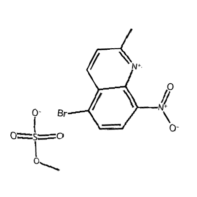 CC1=[N+]c2c([N+](=O)[O-])ccc(Br)c2C=C1.COS(=O)(=O)[O-]